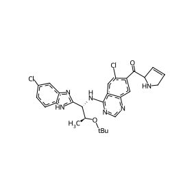 C[C@H](OC(C)(C)C)[C@@H](Nc1ncnc2cc(C(=O)C3C=CCN3)c(Cl)cc12)c1nc2cc(Cl)ccc2[nH]1